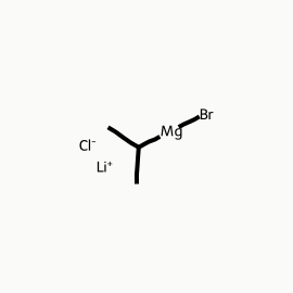 C[CH](C)[Mg][Br].[Cl-].[Li+]